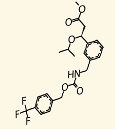 COC(=O)C[C@H](OC(C)C)c1cccc(CNC(=O)OCc2ccc(C(F)(F)F)cc2)c1